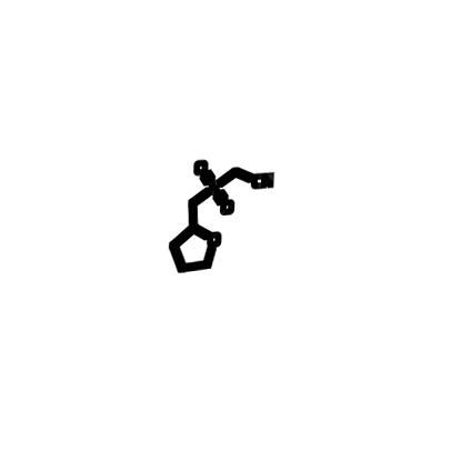 N#CCS(=O)(=O)CC1CCCO1